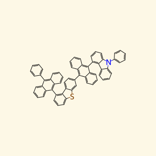 c1ccc(-c2c3ccccc3c(-c3cccc4sc5cc(-c6c7ccccc7c(-c7cccc8c7c7ccccc7n8-c7ccccc7)c7ccccc67)ccc5c34)c3ccccc23)cc1